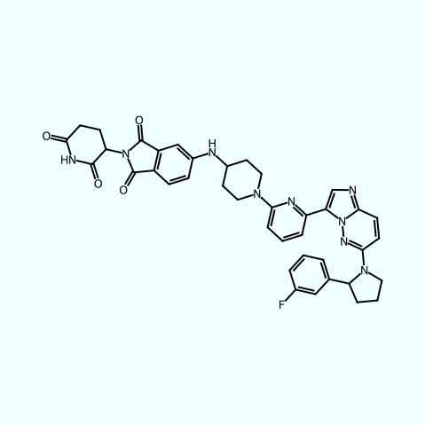 O=C1CCC(N2C(=O)c3ccc(NC4CCN(c5cccc(-c6cnc7ccc(N8CCCC8c8cccc(F)c8)nn67)n5)CC4)cc3C2=O)C(=O)N1